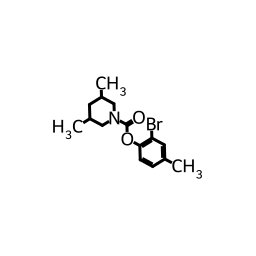 Cc1ccc(OC(=O)N2CC(C)CC(C)C2)c(Br)c1